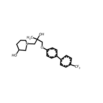 CC(O)(COc1ccc(-c2ccc(C(F)(F)F)cc2)cc1)CN1CCCC(O)C1